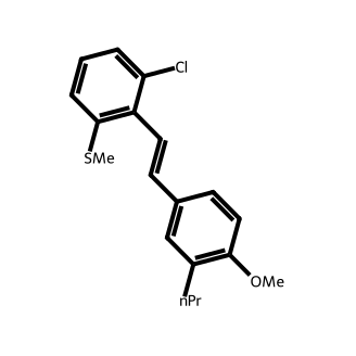 CCCc1cc(/C=C/c2c(Cl)cccc2SC)ccc1OC